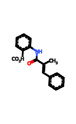 C/C(=C\c1ccccc1)C(=O)Nc1ccccc1C(=O)O